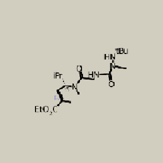 CCOC(=O)/C(C)=C/[C@H](C(C)C)N(C)C(=O)CNC(=O)N(C)NC(C)(C)C